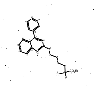 CCOC(=O)C(C)(CC)CCCCOc1cc(-c2ccccc2)c2ccccc2n1